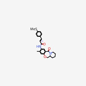 CSc1ccc(/C=C/C(=O)Nc2cc3c(cc2C)OCC2CCCCN2C3=O)cc1